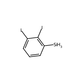 [SiH3]c1cccc(I)c1I